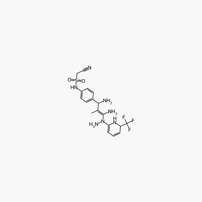 C/C(=C(/N)N(N)C1=CC=CC(C(F)(F)F)N1)C(N)c1ccc(NS(=O)(=O)CC#N)cc1